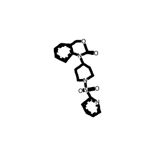 O=C1OCc2ccccc2N1C1CCN(S(=O)(=O)c2ccccn2)CC1